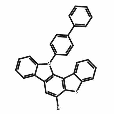 Brc1cc2c3ccccc3n(-c3ccc(-c4ccccc4)cc3)c2c2c1sc1ccccc12